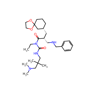 CCN(C(=O)NCC(C)(C)CN(C)C)C(=O)[C@@H](CNCc1ccccc1)C[C@H]1CCCC2(C1)OCCO2